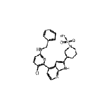 CC(C)S(=O)(=O)N1CCCC(c2cc3c(-c4nc(NCc5ccccc5)ccc4Cl)ccnc3[nH]2)C1